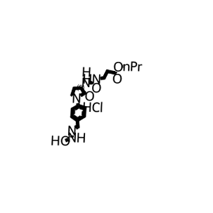 CCCOC(=O)CCNC(=O)N[C@H]1CCN(c2ccc(C=NNO)cc2)C1=O.Cl